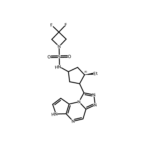 CC[C@@H]1CC(NS(=O)(=O)N2CC(F)(F)C2)CC1c1nnc2cnc3[nH]ccc3n12